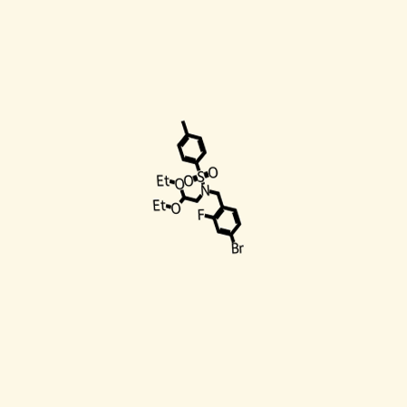 CCOC(CN(Cc1ccc(Br)cc1F)S(=O)(=O)c1ccc(C)cc1)OCC